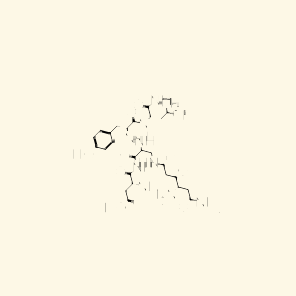 CC(C)C[C@H](NC(=O)[C@H](Cc1ccc(O)cc1)NNC(CNC(=O)CC(=O)[C@@H](N)CC(N)=O)C(=O)NC(=O)[C@@H](N)CC(=O)O)C(N)=O